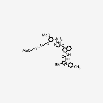 COCCOCCOCCOc1cc(OC)cc(N(C)c2nccc(Oc3ccc(NC(=O)Nc4cc(C(C)(C)C)nn4-c4ccc(C)cc4)c4ccccc34)n2)c1